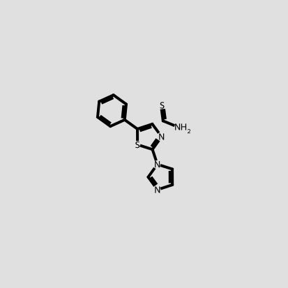 NC=S.c1ccc(-c2cnc(-n3ccnc3)s2)cc1